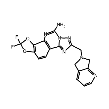 Nc1nc2c3c(ccc2c2nc(CN4Cc5cccnc5C4)nn12)OC(F)(F)O3